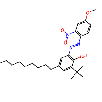 CCCCCCCCCc1cc(/N=N/c2ccc(OC)cc2[N+](=O)[O-])c(O)c(C(C)(C)C)c1